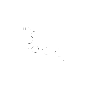 NC(=O)/C=C/c1c[nH]c2ncc(N3CCN(C(=O)CCCF)CC3)cc12